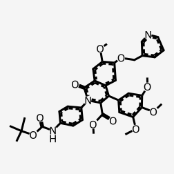 COC(=O)c1c(-c2cc(OC)c(OC)c(OC)c2)c2cc(OCc3cccnc3)c(OC)cc2c(=O)n1-c1ccc(NC(=O)OC(C)(C)C)cc1